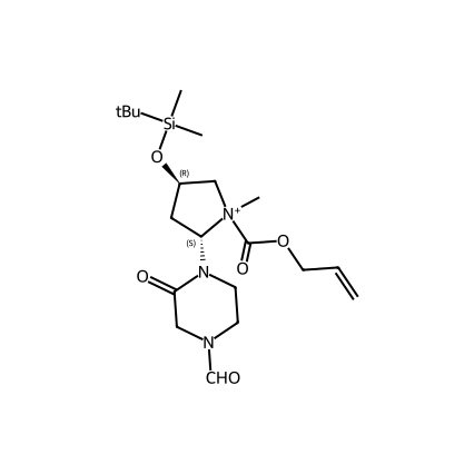 C=CCOC(=O)[N+]1(C)C[C@H](O[Si](C)(C)C(C)(C)C)C[C@H]1N1CCN(C=O)CC1=O